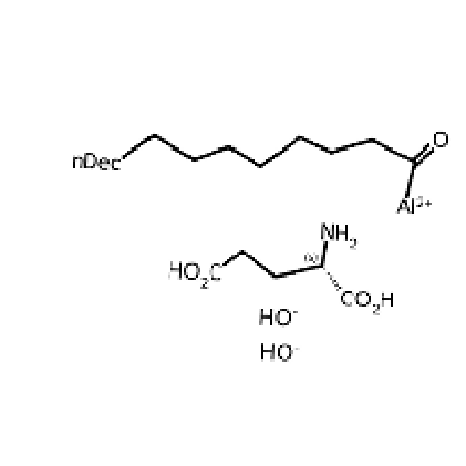 CCCCCCCCCCCCCCCCC[C](=O)[Al+2].N[C@@H](CCC(=O)O)C(=O)O.[OH-].[OH-]